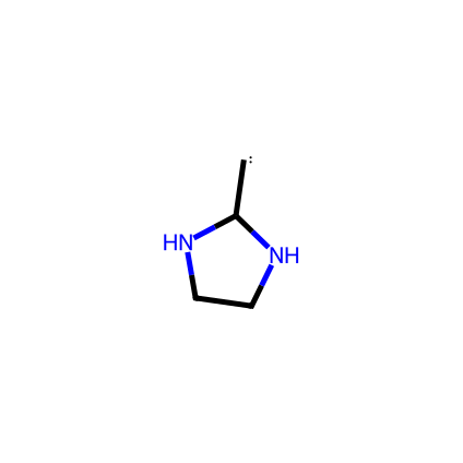 [CH]C1NCCN1